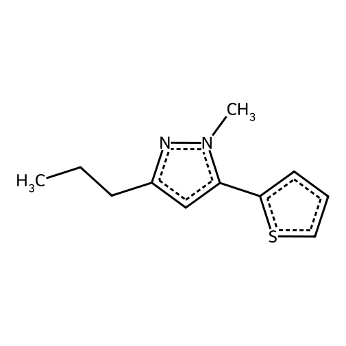 CCCc1cc(-c2cccs2)n(C)n1